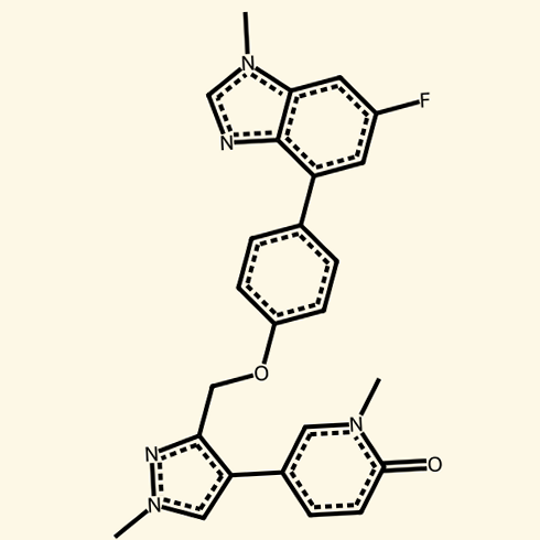 Cn1cc(-c2ccc(=O)n(C)c2)c(COc2ccc(-c3cc(F)cc4c3ncn4C)cc2)n1